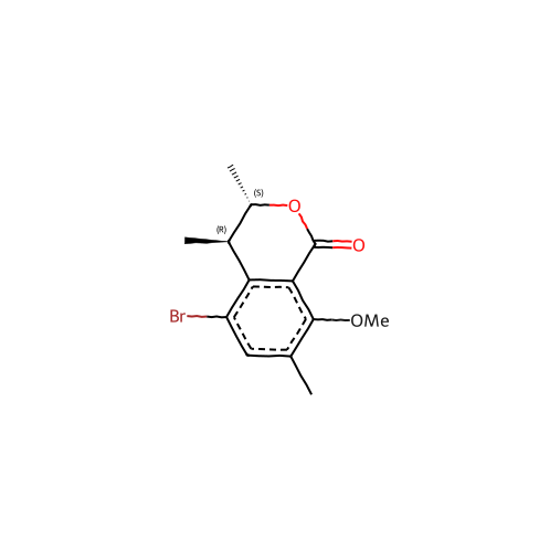 COc1c(C)cc(Br)c2c1C(=O)O[C@@H](C)[C@@H]2C